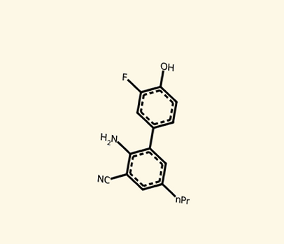 CCCc1cc(C#N)c(N)c(-c2ccc(O)c(F)c2)c1